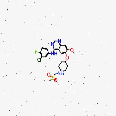 COc1cc2ncnc(Nc3ccc(F)c(Cl)c3)c2cc1OC1CCC(NCS(C)(=O)=O)CC1